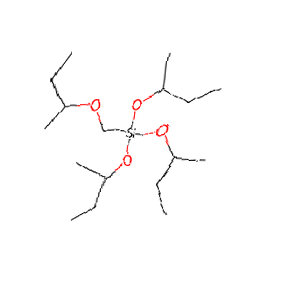 CCC(C)OC[Si](OC(C)CC)(OC(C)CC)OC(C)CC